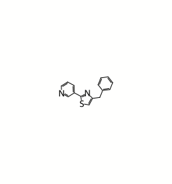 c1ccc(Cc2csc(-c3cccnc3)n2)cc1